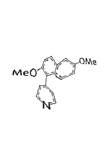 COc1ccc2c(-c3ccncc3)c(OC)ccc2c1